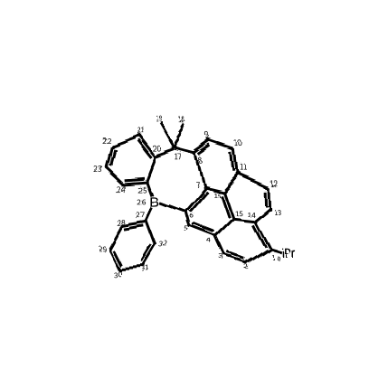 CC(C)c1ccc2cc3c4c(ccc5ccc1c2c54)C(C)(C)c1ccccc1B3c1ccccc1